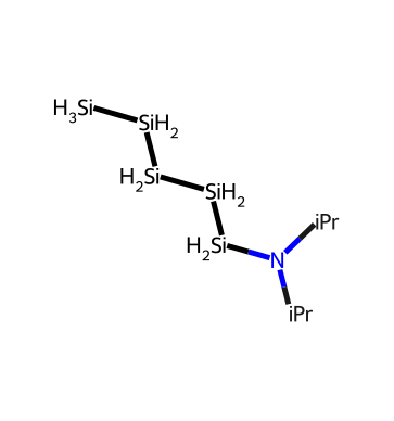 CC(C)N([SiH2][SiH2][SiH2][SiH2][SiH3])C(C)C